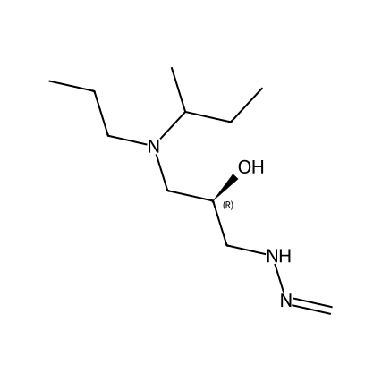 C=NNC[C@H](O)CN(CCC)C(C)CC